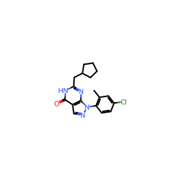 Cc1cc(Cl)ccc1-n1ncc2c(=O)[nH]c(CC3CCCC3)nc21